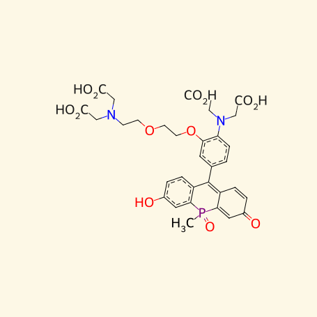 CP1(=O)C2=CC(=O)C=CC2=C(c2ccc(N(CC(=O)O)CC(=O)O)c(OCCOCCN(CC(=O)O)CC(=O)O)c2)c2ccc(O)cc21